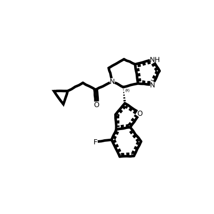 O=C(CC1CC1)N1CCc2[nH]cnc2[C@@H]1c1cc2c(F)cccc2o1